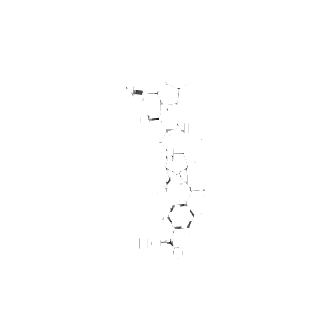 CC1CC(C#N)N(C(=O)C(N)CN2CC3CC2C(=O)N3C(C)c2ccc(C(=O)O)cc2)C1